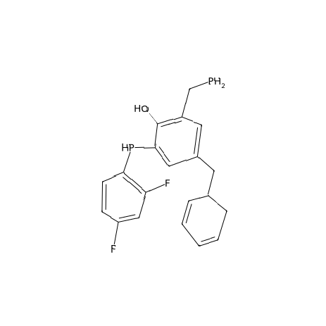 Oc1c(CP)cc(CC2C=CC=CC2)cc1Pc1ccc(F)cc1F